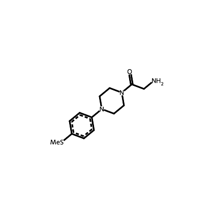 CSc1ccc(N2CCN(C(=O)CN)CC2)cc1